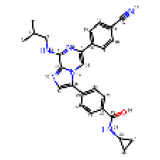 CC(C)CNc1nc(-c2ccc(C#N)cc2)cn2c(-c3ccc(C(=O)NC4CC4)cc3)cnc12